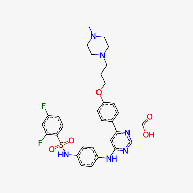 CN1CCN(CCCOc2ccc(-c3cc(Nc4ccc(NS(=O)(=O)c5ccc(F)cc5F)cc4)ncn3)cc2)CC1.O=CO